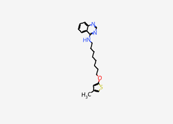 Cc1csc(OCCCCCCCCNc2ncnc3ccccc23)c1